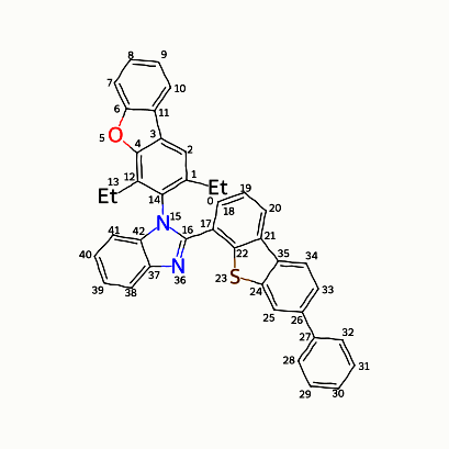 CCc1cc2c(oc3ccccc32)c(CC)c1-n1c(-c2cccc3c2sc2cc(-c4ccccc4)ccc23)nc2ccccc21